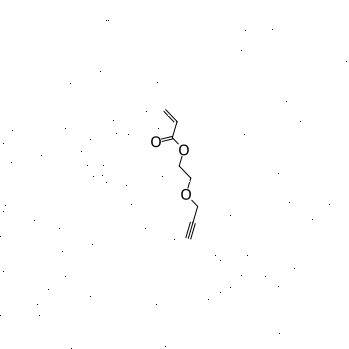 C#CCOCCOC(=O)C=C